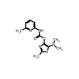 Cc1cccc(NC(=O)Oc2nc(C)sc2N(C)C)n1